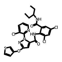 CCC(CC)NC(=O)c1cc(Cl)cc(Cl)c1NC(=O)c1cc(Oc2ccsc2)nn1-c1ncccc1Cl